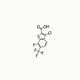 O=C(O)c1sc2c(F)c(C(F)(F)F)ccc2c1Cl